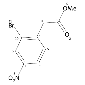 COC(=O)Cc1ccc([N+](=O)[O-])cc1Br